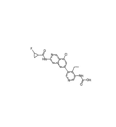 CCc1c(NC(=O)O)cncc1-c1cc(Cl)c2cnc(NC(=O)C3CC3F)cc2c1